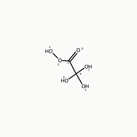 O=C(OO)C(O)(O)O